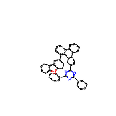 c1ccc(-c2nc(-c3ccccc3)nc(-c3ccc4c5ccccc5c5cccc(-c6ccc7oc8ccccc8c7c6)c5c4c3)n2)cc1